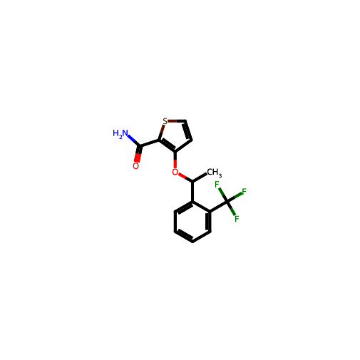 CC(Oc1ccsc1C(N)=O)c1ccccc1C(F)(F)F